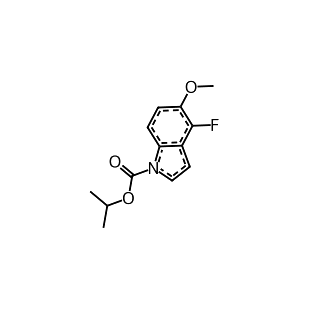 COc1ccc2c(ccn2C(=O)OC(C)C)c1F